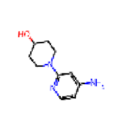 Nc1ccnc(N2CCC(O)CC2)c1